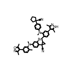 Cc1ccc(-c2c(C)noc2C)cc1N(C)c1ccc(C2(C#N)CC2Cc2ccc(-c3c(C)n[nH]c3C)cc2N(C)c2ccc(C3(C#N)CCCC3)cc2)c(Br)c1